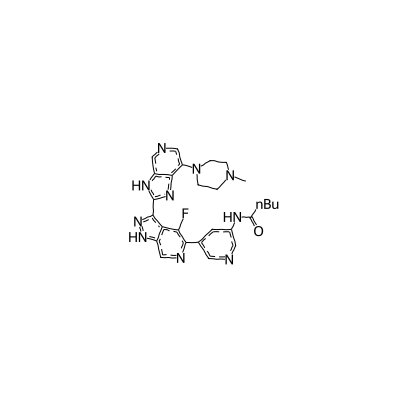 CCCCC(=O)Nc1cncc(-c2ncc3[nH]nc(-c4nc5c(N6CCN(C)CC6)cncc5[nH]4)c3c2F)c1